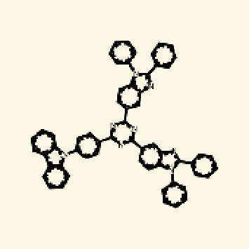 c1ccc(-c2nc3cc(-c4nc(-c5ccc(-n6c7ccccc7c7ccccc76)cc5)nc(-c5ccc6c(c5)nc(-c5ccccc5)n6-c5ccccc5)n4)ccc3n2-c2ccccc2)cc1